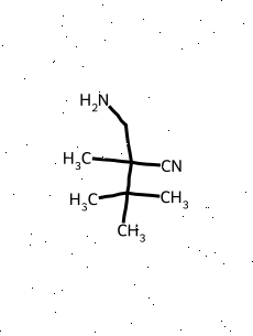 CC(C)(C)C(C)(C#N)CN